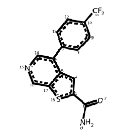 NC(=O)c1cc2c(-c3ccc(C(F)(F)F)cc3)cncc2s1